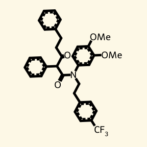 COc1ccc(N(CCc2ccc(C(F)(F)F)cc2)C(=O)C(C(=O)CCc2ccccc2)c2ccccc2)cc1OC